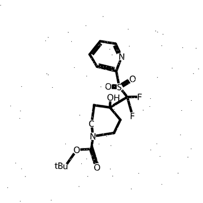 CC(C)(C)OC(=O)N1CCC(O)(C(F)(F)S(=O)(=O)c2ccccn2)CC1